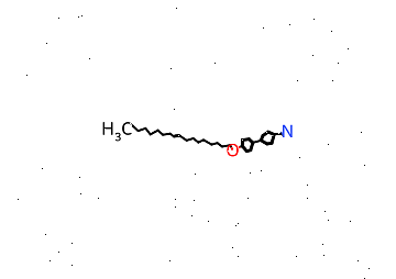 CCCCCCCC/C=C/CCCCCCCCOc1ccc(-c2ccc(C#N)cc2)cc1